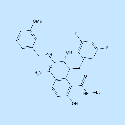 CCNC(=O)c1c(O)ccc(C(N)=O)c1[C@H](Cc1cc(F)cc(F)c1)[C@@H](O)CNCc1cccc(OC)c1